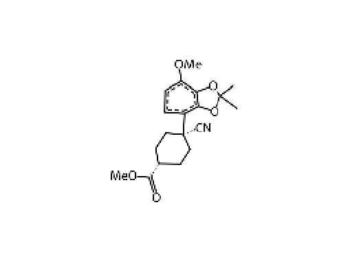 COc1ccc([C@]2(C#N)CC[C@@H](C(=O)OC)CC2)c2c1OC(C)(C)O2